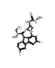 CCCCN(CC(F)(F)F)C(=O)C1c2ccc(F)cc2-c2cc(F)cc(N3CC(NC(=O)OC(C)(C)C)C3)c21